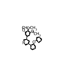 COc1cc(-c2cncc(-c3ccccc3Oc3ccccc3)c2)cc(OC)c1OC